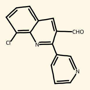 O=Cc1cc2cccc(Cl)c2nc1-c1cccnc1